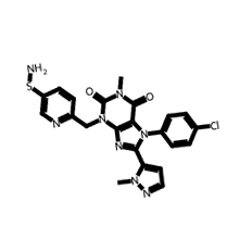 Cn1nccc1-c1nc2c(c(=O)n(C)c(=O)n2Cc2ccc(SN)cn2)n1-c1ccc(Cl)cc1